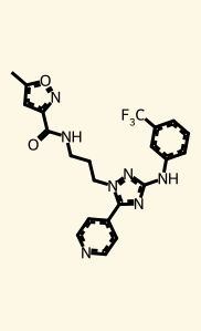 Cc1cc(C(=O)NCCCn2nc(Nc3cccc(C(F)(F)F)c3)nc2-c2ccncc2)no1